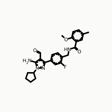 COc1ccc(C)cc1C(=O)NCc1ccc(-c2nn(C3CCCC3)c(N)c2C=O)cc1F